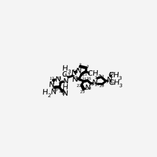 Cc1ccn2nc([C@H](C)Nc3ncnc(N)c3C#N)nc(-c3ccnc(N4CCC(N(C)C)CC4)c3)c12